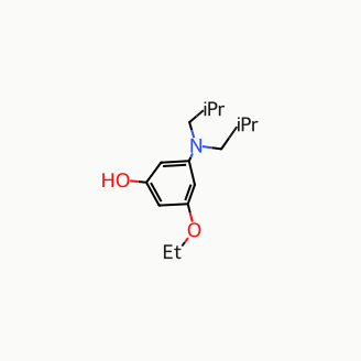 CCOc1cc(O)cc(N(CC(C)C)CC(C)C)c1